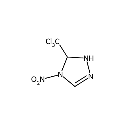 O=[N+]([O-])N1C=NNC1C(Cl)(Cl)Cl